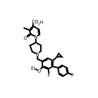 CCOc1c(CN2CCC(n3ccc(C(=O)O)c(C)c3=O)CC2)cc(C2CC2)c(-c2ccc(F)cc2)c1F